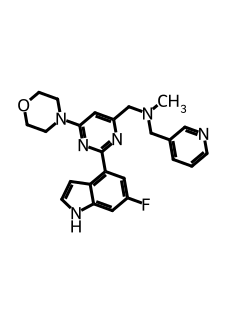 CN(Cc1cccnc1)Cc1cc(N2CCOCC2)nc(-c2cc(F)cc3[nH]ccc23)n1